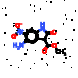 COC(=O)C1C(=O)Nc2cc([N+](=O)[O-])c(N)cc21